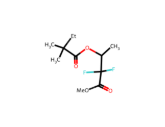 CCC(C)(C)C(=O)OC(C)C(F)(F)C(=O)OC